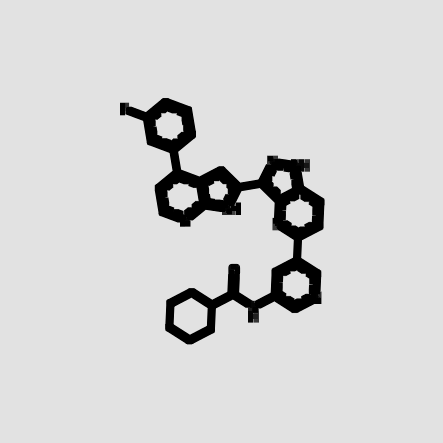 O=C(Nc1cncc(-c2ccc3[nH]nc(-c4cc5c(-c6cccc(F)c6)ccnc5[nH]4)c3n2)c1)C1CCCCC1